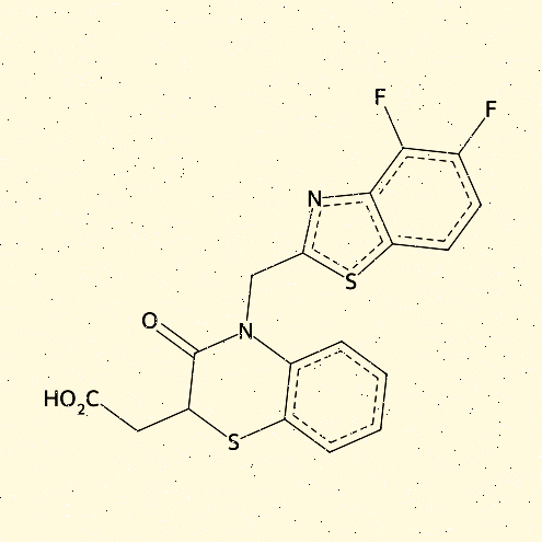 O=C(O)CC1Sc2ccccc2N(Cc2nc3c(F)c(F)ccc3s2)C1=O